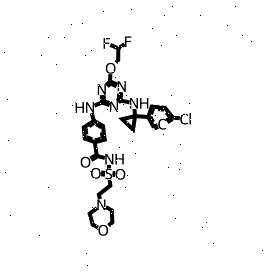 O=C(NS(=O)(=O)CCN1CCOCC1)c1ccc(Nc2nc(NC3(c4ccc(Cl)cc4)CC3)nc(OCC(F)F)n2)cc1